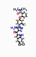 CN(C)C(=O)c1ccccc1Oc1ccc(-n2ncc(C(=O)c3cc4cc(C=O)ccc4[nH]3)c2N)c(Cl)c1